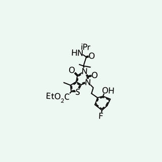 CCOC(=O)c1sc2c(c1C)c(=O)n(C(C)(C)C(=O)NC(C)C)c(=O)n2CCc1cc(F)ccc1O